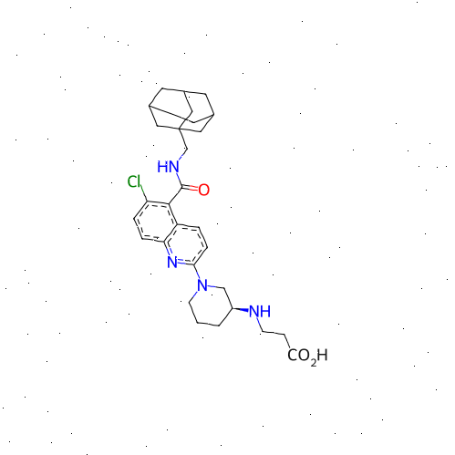 O=C(O)CCN[C@H]1CCCN(c2ccc3c(C(=O)NCC45CC6CC(CC(C6)C4)C5)c(Cl)ccc3n2)C1